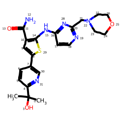 CC(C)(O)c1ccc(-c2cc(C(N)=O)c(Nc3ccnc(CN4CCOCC4)n3)s2)cn1